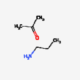 CC(C)=O.CCCN